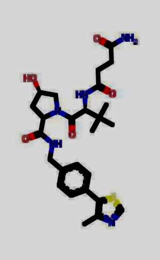 Cc1ncsc1-c1ccc(CNC(=O)C2C[C@@H](O)CN2C(=O)[C@@H](NC(=O)CCC(N)=O)C(C)(C)C)cc1